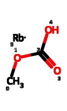 COC(=O)O.[Rb]